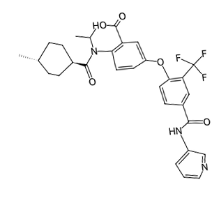 CC(C)N(c1ccc(Oc2ccc(C(=O)Nc3cccnc3)cc2C(F)(F)F)cc1C(=O)O)C(=O)[C@H]1CC[C@H](C)CC1